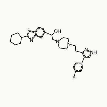 OC(CN1CCN(CCc2n[nH]cc2-c2ccc(F)cc2)CC1)c1ccc2sc(C3CCCCC3)nc2c1